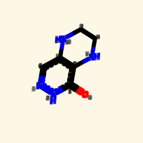 O=c1[nH]n[c]c2c1NCCN2